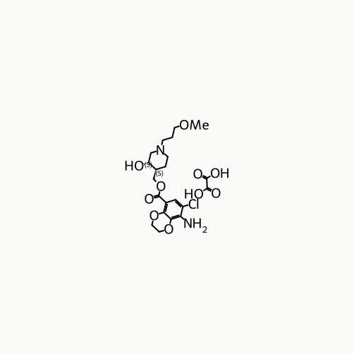 COCCCN1CC[C@@H](COC(=O)c2cc(Cl)c(N)c3c2OCCO3)[C@H](O)C1.O=C(O)C(=O)O